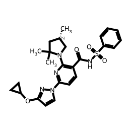 C[C@@H]1CN(c2nc(-n3ccc(OC4CC4)n3)ccc2C(=O)NS(=O)(=O)c2ccccc2)C(C)(C)C1